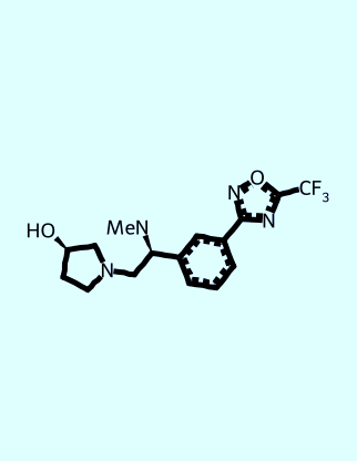 CN[C@H](CN1CC[C@@H](O)C1)c1cccc(-c2noc(C(F)(F)F)n2)c1